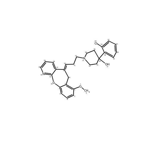 COc1cccc2c1CC(=CCCN1CCC(O)(c3ccccc3Cl)CC1)c1cccnc1O2